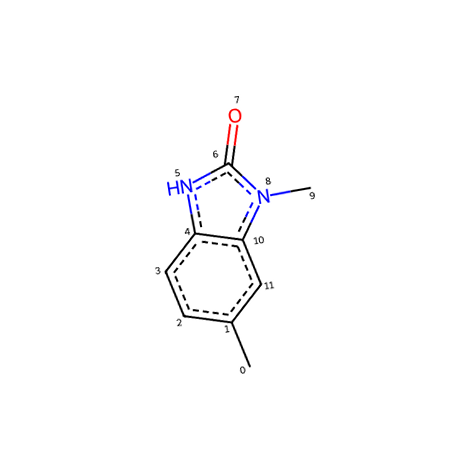 Cc1ccc2[nH]c(=O)n(C)c2c1